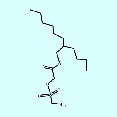 CCCCCCC(CCCC)COC(=O)COS(=O)(=O)CN